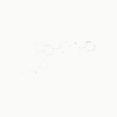 C=CC(=O)N1CCC(c2cc(-c3ccc(C(=O)Nc4ccccc4)nc3)cc3cncnc23)C1